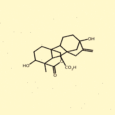 C=C1CC23CC1(O)CCC2C12CCC(O)C(C)(C(=O)OC1)C2C3C(=O)O